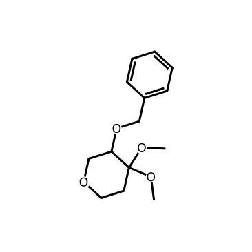 COC1(OC)CCOCC1OCc1ccccc1